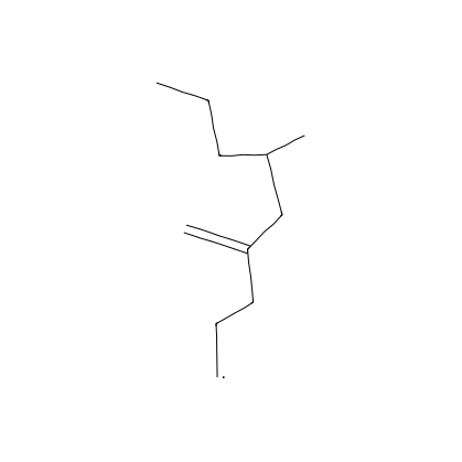 [CH2]CCC(=C)CC(C)CCC